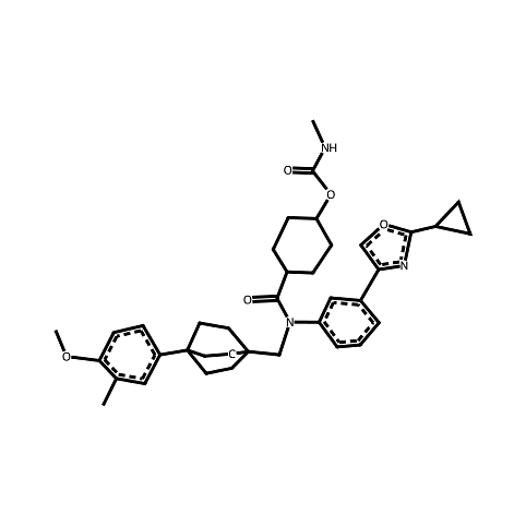 CNC(=O)OC1CCC(C(=O)N(CC23CCC(c4ccc(OC)c(C)c4)(CC2)CC3)c2cccc(-c3coc(C4CC4)n3)c2)CC1